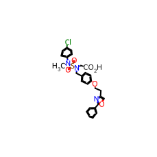 CN(c1ccc(Cl)cc1)S(=O)(=O)N(CC(=O)O)Cc1ccc(OCCc2coc(-c3ccccc3)n2)cc1